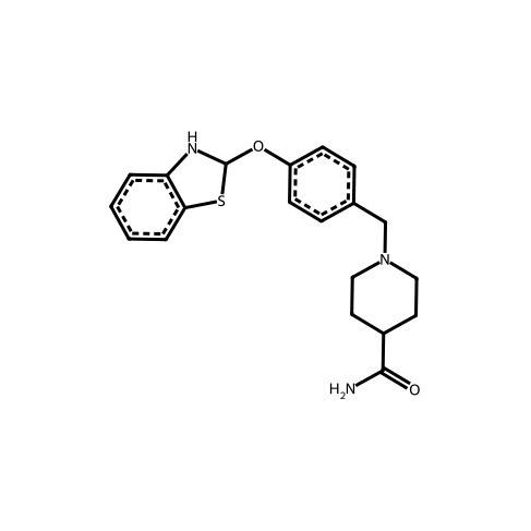 NC(=O)C1CCN(Cc2ccc(OC3Nc4ccccc4S3)cc2)CC1